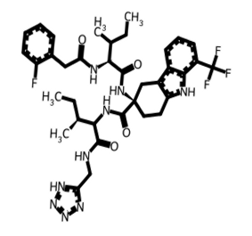 CCC(C)[C@H](NC(=O)Cc1ccccc1F)C(=O)N[C@]1(C(=O)NC(C(=O)NCc2nnn[nH]2)[C@@H](C)CC)CCc2[nH]c3c(C(F)(F)F)cccc3c2C1